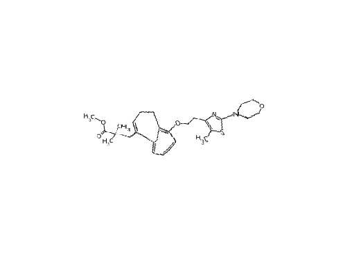 COC(=O)C(C)(C)CC1=CCCc2c(OCCc3nc(N4CCOCC4)sc3C)cccc21